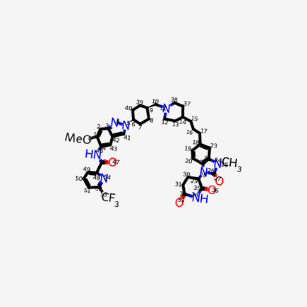 COc1cc2nn([C@H]3CC[C@H](CN4CCC(CCCc5ccc6c(c5)n(C)c(=O)n6C5CCC(=O)NC5=O)CC4)CC3)cc2cc1NC(=O)c1cccc(C(F)(F)F)n1